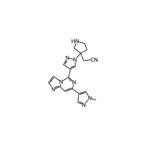 Cn1cc(-c2cc3nccn3c(-c3cnn(C4(CC#N)CCNC4)c3)n2)cn1